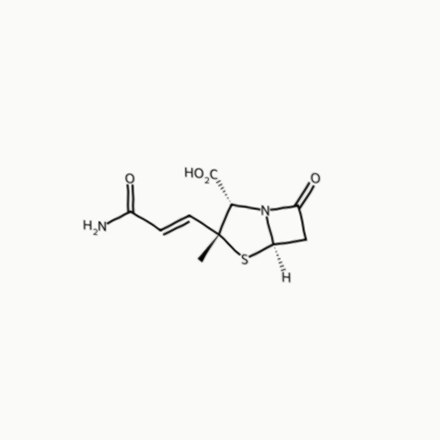 C[C@]1(/C=C/C(N)=O)S[C@@H]2CC(=O)N2[C@H]1C(=O)O